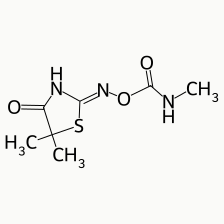 CNC(=O)ON=C1NC(=O)C(C)(C)S1